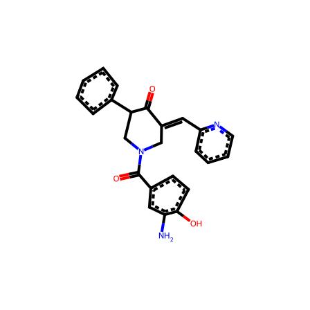 Nc1cc(C(=O)N2CC(=Cc3ccccn3)C(=O)C(c3ccccc3)C2)ccc1O